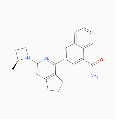 C[C@H]1CCN1c1nc2c(c(-c3cc(C(N)=O)c4ccccc4c3)n1)CCC2